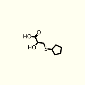 O=C(O)C(O)CSC1CCCC1